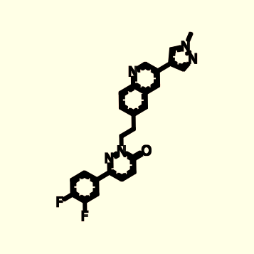 Cn1cc(-c2cnc3ccc(CCn4nc(-c5ccc(F)c(F)c5)ccc4=O)cc3c2)cn1